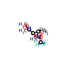 COC(=O)c1ncc(-c2ccc(OC)c(C3=C(CN4C(=O)O[C@H](c5cc(C(F)(F)F)cc(C(F)(F)F)c5)[C@@H]4C)CC(C)(C)CC3)c2)cc1C